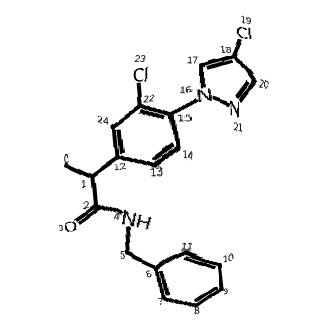 CC(C(=O)NCc1ccccc1)c1ccc(-n2cc(Cl)cn2)c(Cl)c1